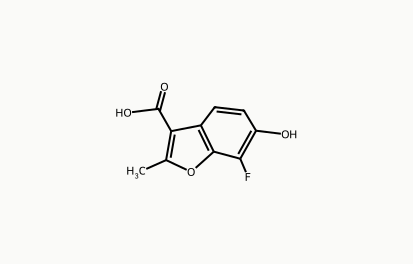 Cc1oc2c(F)c(O)ccc2c1C(=O)O